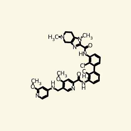 COc1cc(NCc2cnc(C(=O)Nc3cccc(-c4cccc(NC(=O)c5nc6c(n5C)CCN(C)C6)c4Cl)c3C)cc2OC)ccn1